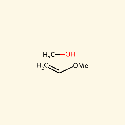 C=COC.CO